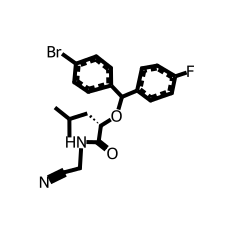 CC(C)C[C@H](OC(c1ccc(F)cc1)c1ccc(Br)cc1)C(=O)NCC#N